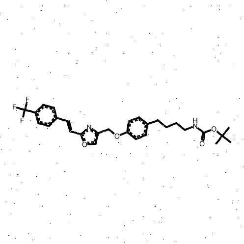 CC(C)(C)OC(=O)NCCCCc1ccc(OCc2coc(C=Cc3ccc(C(F)(F)F)cc3)n2)cc1